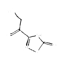 CCC(=O)c1nsc(=O)[nH]1